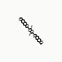 FC1=C(c2cc3cc4cc5sccc5cc4cc3s2)SC2C(F)=C(c3cc4cc5cc6sccc6cc5cc4s3)SC12